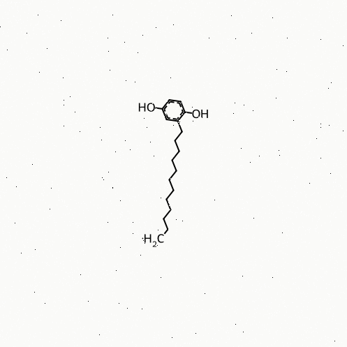 [CH2]CCCCCCCCCCCc1cc(O)ccc1O